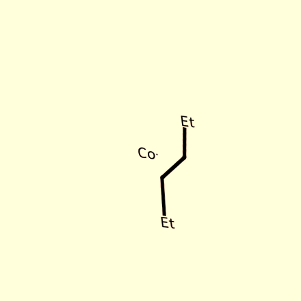 CCCCCC.[Co]